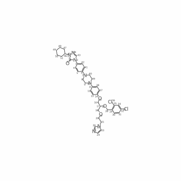 O=c1n(-c2ccc(N3CCN(c4ccc(OC[C@H](COCCn5ccnc5)OCc5ccc(Cl)cc5Cl)cc4)CC3)cc2)cnn1C1CCCCC1